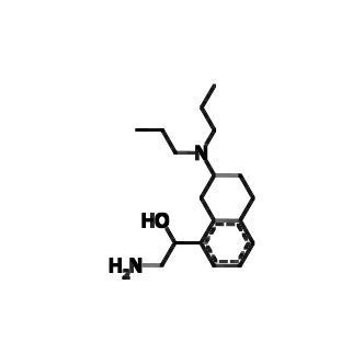 CCCN(CCC)C1CCc2cccc(C(O)CN)c2C1